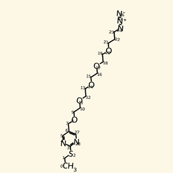 CCSc1ncc(COCCOCCOCCOCCOCCCN=[N+]=[N-])cn1